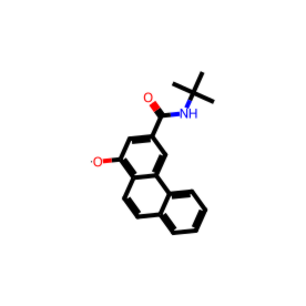 CC(C)(C)NC(=O)c1cc([O])c2ccc3ccccc3c2c1